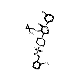 Cc1ccccc1CNS(=O)(=O)N1CCN(c2cnn(-c3cccc(Cl)c3)c(=O)c2OCC2(C)CC2)CC1